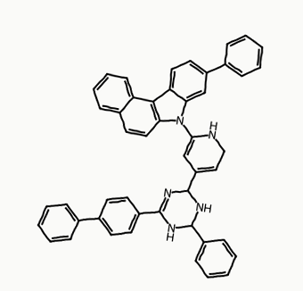 C1=C(C2N=C(c3ccc(-c4ccccc4)cc3)NC(c3ccccc3)N2)C=C(n2c3cc(-c4ccccc4)ccc3c3c4ccccc4ccc32)NC1